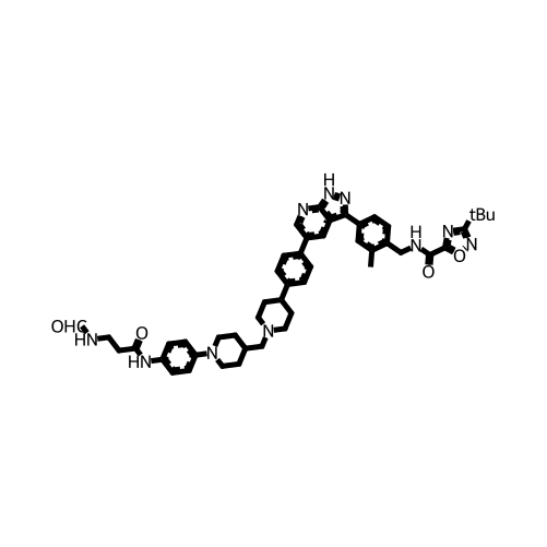 Cc1cc(-c2n[nH]c3ncc(-c4ccc(C5CCN(CC6CCN(c7ccc(NC(=O)CCNC=O)cc7)CC6)CC5)cc4)cc23)ccc1CNC(=O)c1nc(C(C)(C)C)no1